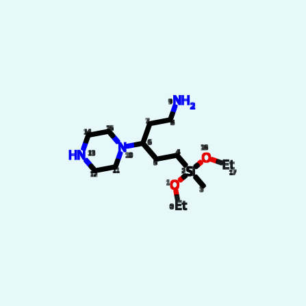 CCO[Si](C)(CCC(CCN)N1CCNCC1)OCC